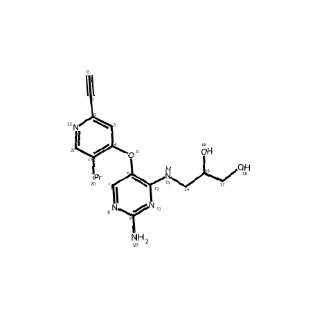 C#Cc1cc(Oc2cnc(N)nc2NCC(O)CO)c(C(C)C)cn1